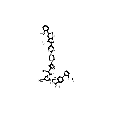 Cc1ncsc1-c1ccc(C(C)NC(=O)[C@@H]2C[C@@H](O)CN2C(=O)C(c2cc(N3CCN(c4ncc(-c5sc6nnc(-c7ccccc7O)cc6c5C)cn4)CC3)no2)C(C)C)cc1